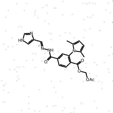 CC(=O)OCOC(=O)c1ccc(C(=O)N/N=C/c2c[nH]cn2)cc1-n1c(C)ccc1C